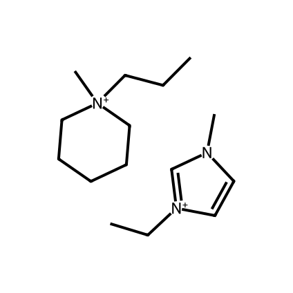 CCC[N+]1(C)CCCCC1.CC[n+]1ccn(C)c1